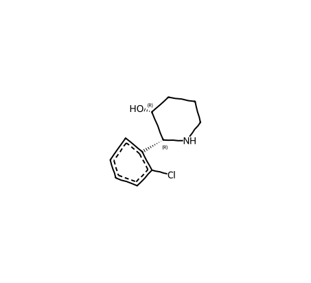 O[C@@H]1CCCN[C@@H]1c1ccccc1Cl